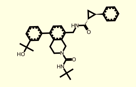 CC(C)(C)NC(=O)N1CCc2c(-c3cccc(C(C)(C)O)c3)ccc(CNC(=O)[C@@H]3C[C@H]3c3ccccc3)c2C1